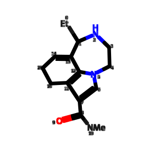 CCC1NCCn2cc(C(=O)NC)c3c2C1=CCC3